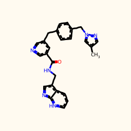 Cc1cnn(Cc2ccc(Cc3cncc(C(=O)NCc4cnc5[nH]cccc4-5)c3)cc2)c1